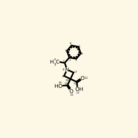 CC(c1ccccc1)N1CC(C(=O)O)(C(=O)O)C1